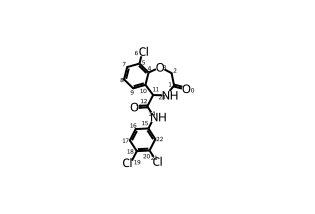 O=C1COc2c(Cl)cccc2C(C(=O)Nc2ccc(Cl)c(Cl)c2)N1